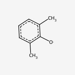 Cc1cccc(C)c1[O]